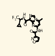 Cc1cc(NC(=O)c2ccon2)nc2c(C(=O)NC(C3CC3)C(F)(F)F)ncn12